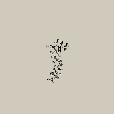 O=C(N[C@H](CF)[C@H](O)c1ccc(-c2ccc(C3(F)CN(S(=O)(=O)C4CC4)C3)nc2)cc1)C(F)F